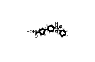 O=C(NO)c1ccc(-c2ccc(NS(=O)(=O)c3ccccc3)cc2)cc1